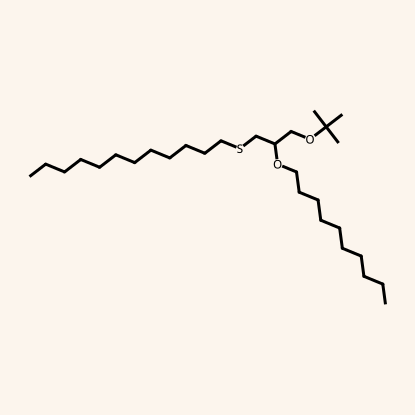 CCCCCCCCCCCCSCC(COC(C)(C)C)OCCCCCCCCCC